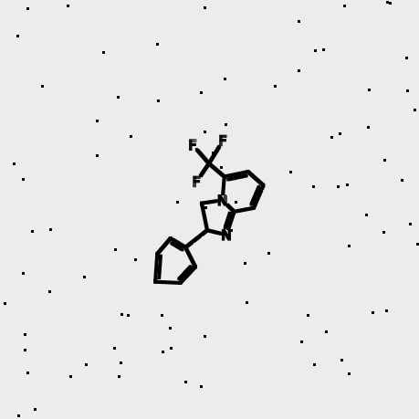 FC(F)(F)C1=CC=CC2=NC(c3ccccc3)CN12